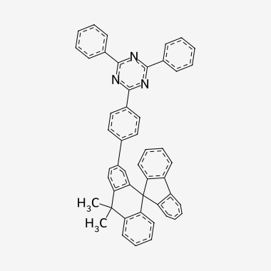 CC1(C)c2ccccc2C2(c3ccccc3-c3ccccc32)c2cc(-c3ccc(-c4nc(-c5ccccc5)nc(-c5ccccc5)n4)cc3)ccc21